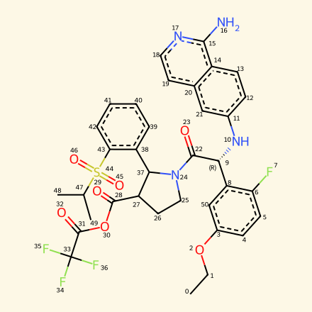 CCOc1ccc(F)c([C@@H](Nc2ccc3c(N)nccc3c2)C(=O)N2CCC(C(=O)OC(=O)C(F)(F)F)C2c2ccccc2S(=O)(=O)C(C)C)c1